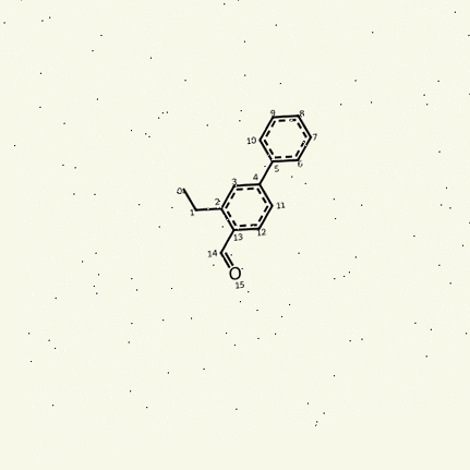 [CH2]Cc1cc(-c2ccccc2)ccc1C=O